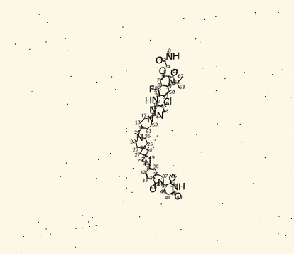 CNC(=O)COc1cc2c(F)c(Nc3nc(N4CCC(CN5CCC6(CC5)CC5(CN(c7ccc8c(c7)CN(C7CCC(=O)NC7=O)C8=O)C5)C6)CC4)ncc3Cl)ccc2n(C(C)C)c1=O